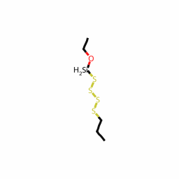 CCCSSSS[SiH2]OCC